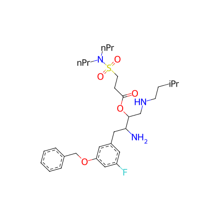 CCCN(CCC)S(=O)(=O)CCC(=O)OC(CNCCC(C)C)C(N)Cc1cc(F)cc(OCc2ccccc2)c1